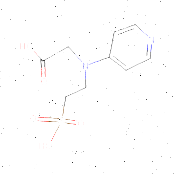 O=C(O)CN(CCS(=O)(=O)O)c1ccncc1